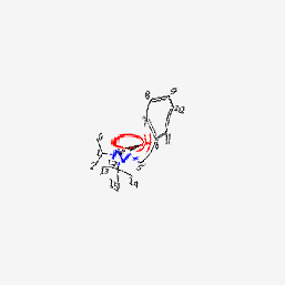 CC(C)[N+](O)(Cc1ccccc1)C(C)(C)C